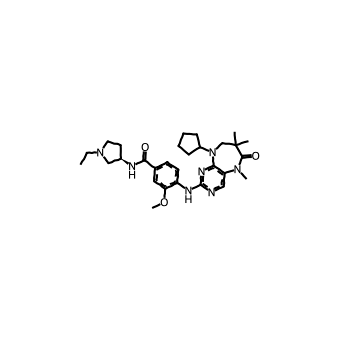 CCN1CC[C@@H](NC(=O)c2ccc(Nc3ncc4c(n3)N(C3CCCC3)CC(C)(C)C(=O)N4C)c(OC)c2)C1